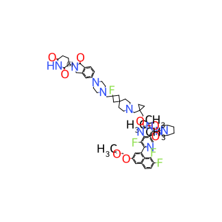 COCOc1cc(-c2ncc3c(N4CC5CCC(C4)N5C(=O)OC(C)(C)C)nc(OCC4(CN5CCC6(CC5)CC(F)(CN5CCN(c7ccc8c(c7)CN([C@H]7CCC(=O)NC7=O)C8=O)CC5)C6)CC4)nc3c2F)c2c(F)c(F)ccc2c1